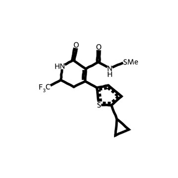 CSNC(=O)C1=C(c2ccc(C3CC3)s2)CC(C(F)(F)F)NC1=O